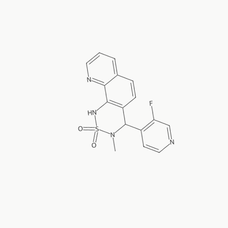 CN1C(c2ccncc2F)c2ccc3cccnc3c2NS1(=O)=O